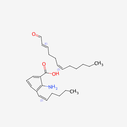 CCCC/C=C\c1cccc(C(=O)O)c1N.CCCCC/C=C\CC/C=C/C=O